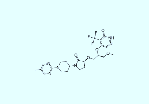 COC[C@@H](CO[C@H]1CCN(C2CCN(c3ncc(C)cn3)CC2)C1=O)Oc1cn[nH]c(=O)c1C(F)(F)F